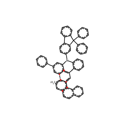 CC1CC=C(c2ccccc2N(c2cc(-c3ccccc3)cc(-c3ccccc3)c2)c2ccc3c(c2)C(c2ccccc2)(c2ccccc2)c2ccccc2-3)C=C1c1cccc2ccccc12